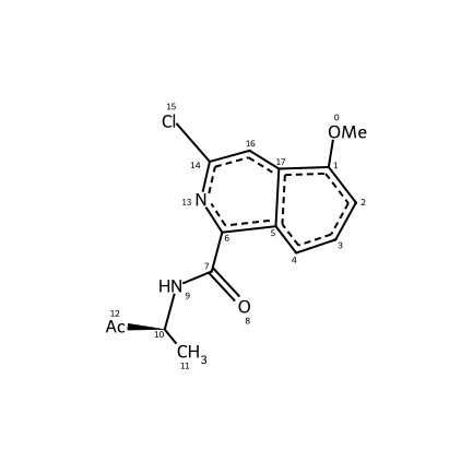 COc1cccc2c(C(=O)N[C@@H](C)C(C)=O)nc(Cl)cc12